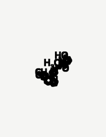 COc1ccc2c(c1)CCc1cccnc1C2=C1CCN(CCc2c(C)nc3n(c2=O)CCCC3O)CC1